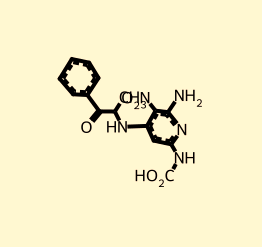 CC(Nc1cc(NC(=O)O)nc(N)c1[N+](=O)[O-])C(=O)c1ccccc1